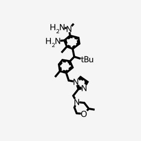 Cc1ccc(C(c2ccc(N(C)N)c(N)c2C)C(C)(C)C)cc1Cn1ccnc1CN1CCOC(C)C1